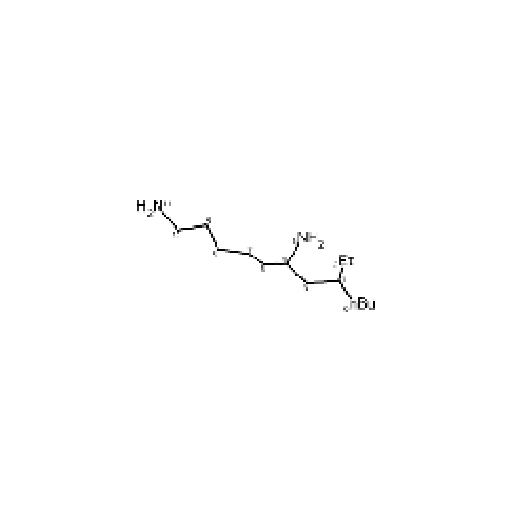 CCCCC(CC)CC(N)CCCCCN